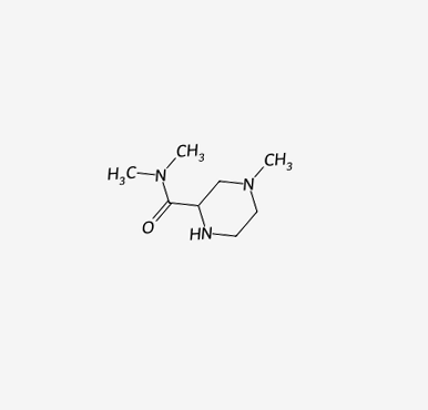 CN1CCNC(C(=O)N(C)C)C1